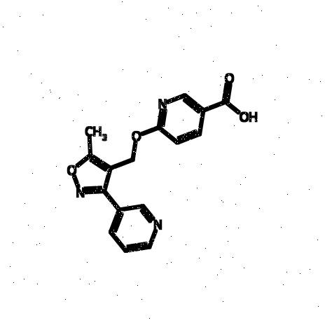 Cc1onc(-c2cccnc2)c1COc1ccc(C(=O)O)cn1